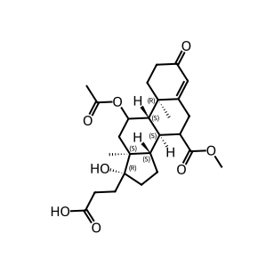 COC(=O)C1CC2=CC(=O)CC[C@]2(C)[C@H]2C(OC(C)=O)C[C@@]3(C)[C@@H](CC[C@@]3(O)CCC(=O)O)[C@H]12